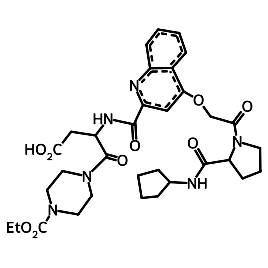 CCOC(=O)N1CCN(C(=O)C(CC(=O)O)NC(=O)c2cc(OCC(=O)N3CCCC3C(=O)NC3CCCC3)c3ccccc3n2)CC1